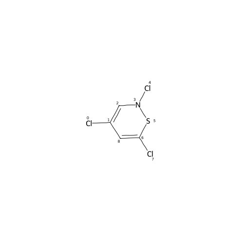 ClC1=CN(Cl)SC(Cl)=C1